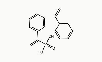 C=C(c1ccccc1)P(=O)(O)O.C=Cc1ccccc1